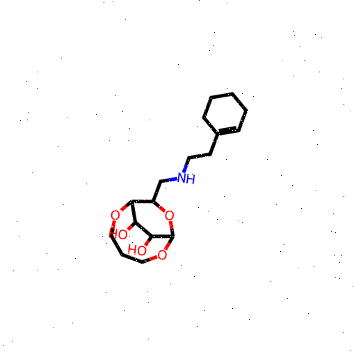 OC1C2OCCCOC(C(CNCCC3=CCCCC3)O2)C1O